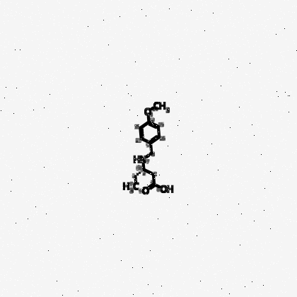 CC[C@@H](CC(=O)O)NCc1ccc(OC)cc1